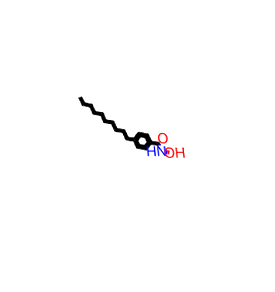 CCCCCCCCCCc1ccc(C(=O)NO)cc1